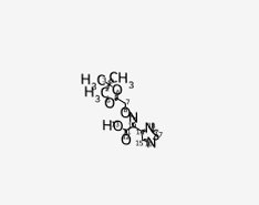 CC(C)(C)OC(=O)CO/N=C(\C(=O)O)c1cnsn1